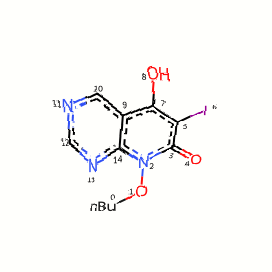 CCCCOn1c(=O)c(I)c(O)c2cncnc21